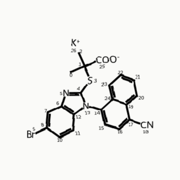 CC(C)(Sc1nc2cc(Br)ccc2n1-c1ccc(C#N)c2ccccc12)C(=O)[O-].[K+]